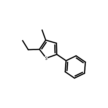 CCc1sc(-c2ccccc2)cc1C